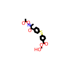 CC(=O)O/N=C(\C)C(=O)c1ccc(Sc2ccc(C(=O)OCO)cc2)cc1